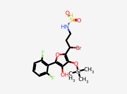 C[Si](C)(C)Oc1c(C(Br)CCN[SH](=O)=O)oc(-c2c(F)cccc2F)c1O